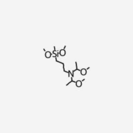 COC(C)N(CCC[Si](C)(OC)OC)C(C)OC